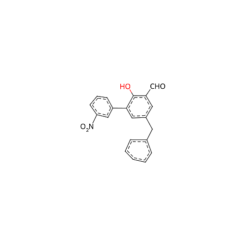 O=Cc1cc(Cc2ccccc2)cc(-c2cccc([N+](=O)[O-])c2)c1O